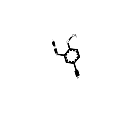 COc1ccc(C#N)cc1N=C=S